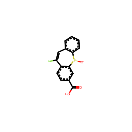 O=C(O)c1ccc2c(c1)[S@+]([O-])c1ccccc1C=C2F